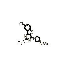 CN[C@H]1CCN(c2nc(N)nc3c2sc2ccc(Cl)cc23)C1